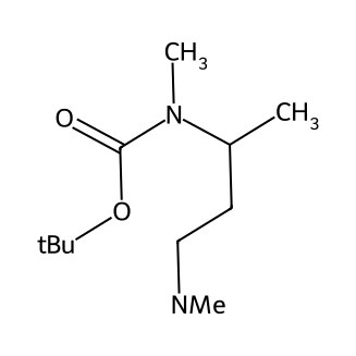 CNCCC(C)N(C)C(=O)OC(C)(C)C